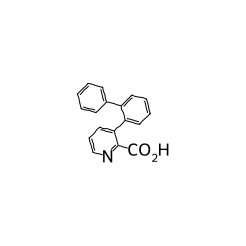 O=C(O)c1ncccc1-c1ccccc1-c1ccccc1